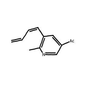 C=C/C=C\c1cc(C(C)=O)cnc1C